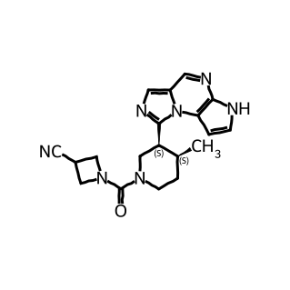 C[C@H]1CCN(C(=O)N2CC(C#N)C2)C[C@H]1c1ncc2cnc3[nH]ccc3n12